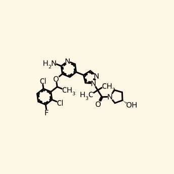 CC(Oc1cc(-c2cnn(C(C)(C)C(=O)N3CC[C@H](O)C3)c2)cnc1N)c1c(Cl)ccc(F)c1Cl